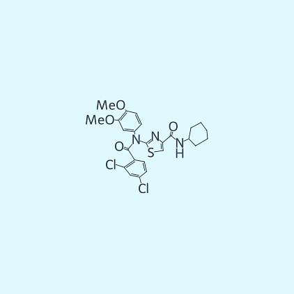 COc1ccc(N(C(=O)c2ccc(Cl)cc2Cl)c2nc(C(=O)NC3CCCCC3)cs2)cc1OC